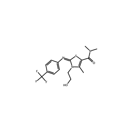 Cc1c(C(=O)N(C)C)sc(=Nc2ccc(C(F)(F)F)cc2)n1CCO